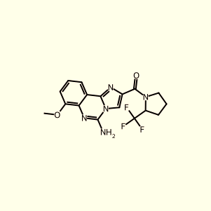 COc1cccc2c1nc(N)n1cc(C(=O)N3CCCC3C(F)(F)F)nc21